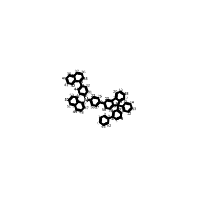 c1ccc(-c2cccc(C3(c4ccccc4)c4ccccc4-c4cc(-c5ccc(N(c6ccc(-c7cccc8ccccc78)cc6)c6cccc7ccccc67)cc5)ccc43)c2)cc1